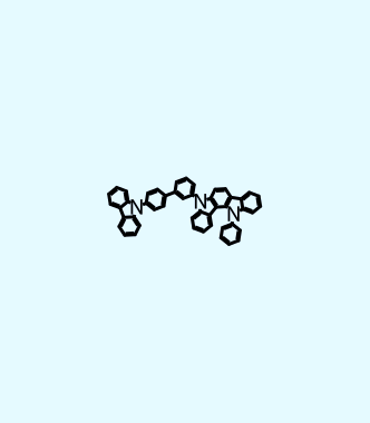 c1ccc(-n2c3ccccc3c3ccc4c(c5ccccc5n4-c4cccc(-c5ccc(-n6c7ccccc7c7ccccc76)cc5)c4)c32)cc1